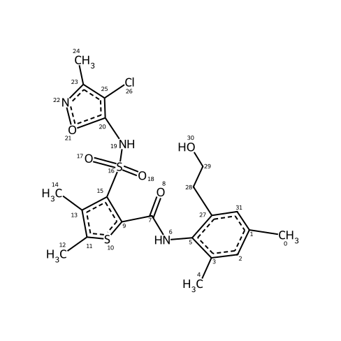 Cc1cc(C)c(NC(=O)c2sc(C)c(C)c2S(=O)(=O)Nc2onc(C)c2Cl)c(CCO)c1